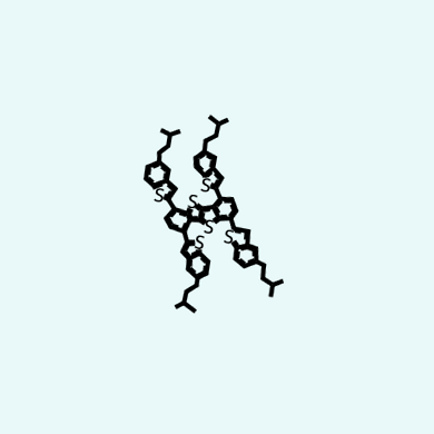 CC(C)CCc1ccc2sc(-c3ccc(-c4cc5cc(CCC(C)C)ccc5s4)c4c3sc3c4sc4c(-c5cc6cc(CCC(C)C)ccc6s5)ccc(-c5cc6cc(CCC(C)C)ccc6s5)c43)cc2c1